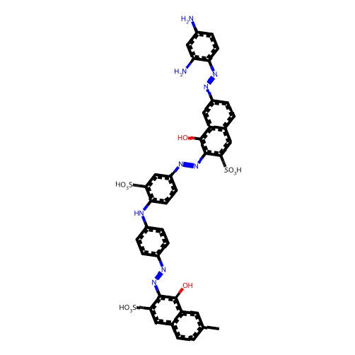 Cc1ccc2cc(S(=O)(=O)O)c(N=Nc3ccc(Nc4ccc(N=Nc5c(S(=O)(=O)O)cc6ccc(N=Nc7ccc(N)cc7N)cc6c5O)cc4S(=O)(=O)O)cc3)c(O)c2c1